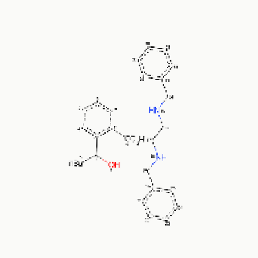 CCCCC(O)c1ccccc1C(=O)O.c1ccc(CNCCNCc2ccccc2)cc1